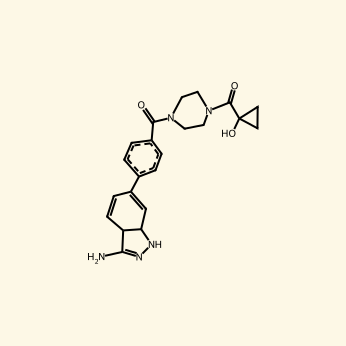 NC1=NNC2C=C(c3ccc(C(=O)N4CCN(C(=O)C5(O)CC5)CC4)cc3)C=CC12